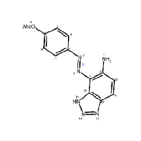 COc1ccc(/N=N/c2c(N)ccc3nn[nH]c23)cc1